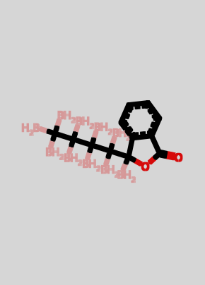 BC(B)(B)C(B)(B)C(B)(B)C(B)(B)C1(B)OC(=O)c2ccccc21